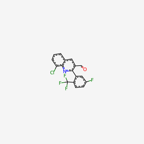 O=Cc1cc2cccc(Cl)c2nc1-c1cc(F)ccc1C(F)(F)F